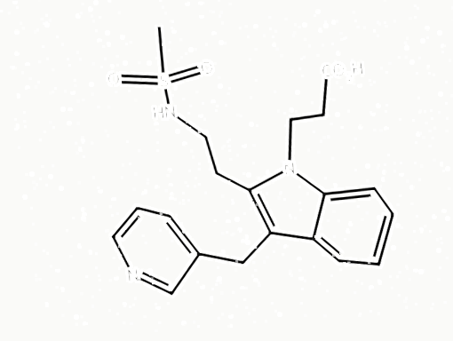 CS(=O)(=O)NCCc1c(Cc2cccnc2)c2ccccc2n1CCC(=O)O